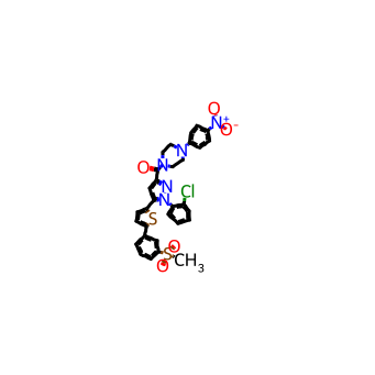 CS(=O)(=O)c1cccc(-c2ccc(-c3cc(C(=O)N4CCN(c5ccc([N+](=O)[O-])cc5)CC4)nn3-c3ccccc3Cl)s2)c1